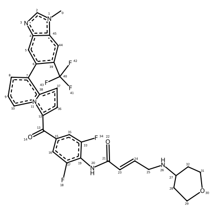 Cn1cnc2cc(-c3cccn4c(C(=O)c5cc(F)c(NC(=O)/C=C/CNC6CCOCC6)c(F)c5)ccc34)c(C(F)(F)F)cc21